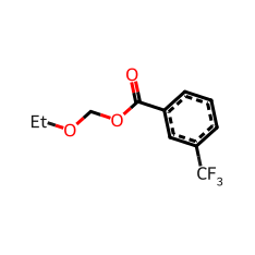 CCOCOC(=O)c1cccc(C(F)(F)F)c1